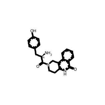 N[C@H](Cc1ccc(O)cc1)C(=O)N1CCc2[nH]c(=O)c3ccccc3c2C1